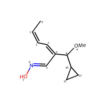 C\C=C/C=C(\C=N\O)C(OC)C1CC1